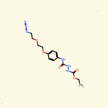 CCOC(=O)NNC(=O)Nc1ccc(OCCOCCN=[N+]=[N-])cc1